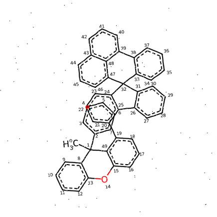 CC1(c2ccccc2)c2ccccc2Oc2cccc(-c3cccc4c3-c3ccccc3C43c4ccccc4-c4cccc5cccc3c45)c21